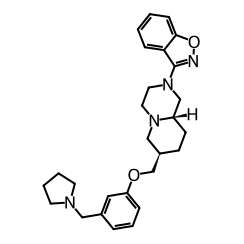 c1cc(CN2CCCC2)cc(OC[C@@H]2CC[C@H]3CN(c4noc5ccccc45)CCN3C2)c1